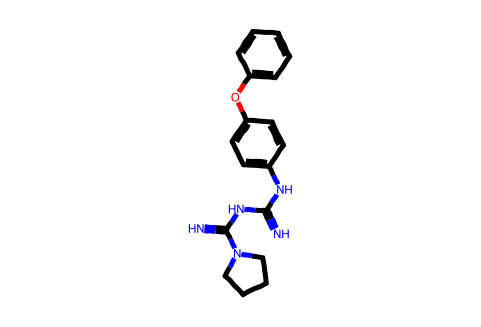 N=C(NC(=N)N1CCCC1)Nc1ccc(Oc2ccccc2)cc1